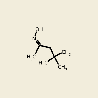 C/C(CC(C)(C)C)=N/O